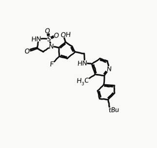 Cc1c(NCc2cc(O)c(N3CC(=O)NS3(=O)=O)c(F)c2)ccnc1-c1ccc(C(C)(C)C)cc1